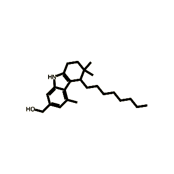 CCCCCCCCC1c2c([nH]c3cc(CO)cc(C)c23)CCC1(C)C